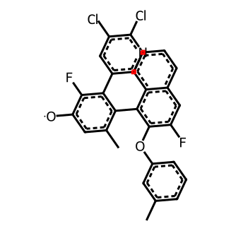 Cc1cccc(Oc2c(F)cc3ccccc3c2-c2c(C)cc([O])c(F)c2-c2cnc(Cl)c(Cl)c2)c1